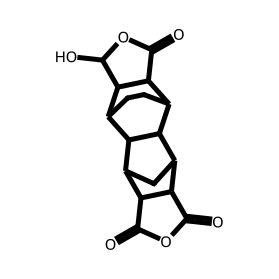 O=C1OC(=O)C2C3CC(C12)C1C2CCC(C4C(O)OC(=O)C24)C31